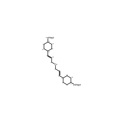 CCCCCCCC1CCC(/C=C/COC/C=C/C2CCC(CCCCCCC)CC2)CC1